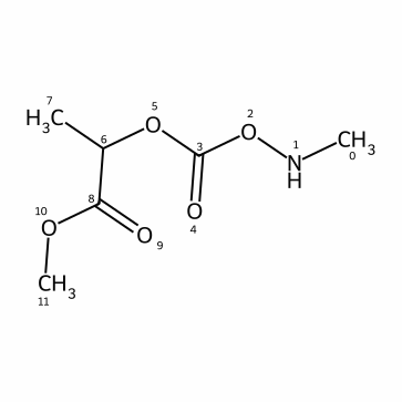 CNOC(=O)OC(C)C(=O)OC